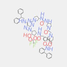 CCC(=O)N[C@H]1C[C@@H](n2cnc3c(NCC(c4ccccc4)c4ccccc4)nc(N4CC[C@@H](NC(=O)N[C@@H]5CCN(C(=O)CN6CCC(OC(=O)Nc7ccccc7-c7ccccc7)CC6)C5)C4)nc32)[C@H](O)[C@@H]1OC(=O)C(F)(F)F